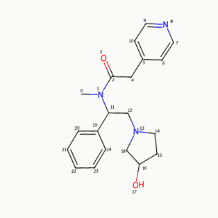 CN(C(=O)Cc1ccncc1)C(CN1CCC(O)C1)c1ccccc1